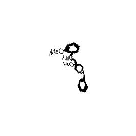 COc1ccccc1NCC1(O)CCN(Cc2ccccc2)CC1